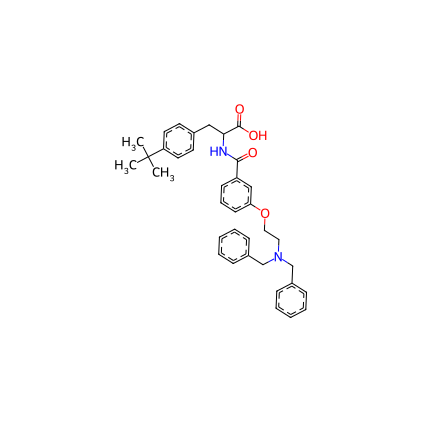 CC(C)(C)c1ccc(CC(NC(=O)c2cccc(OCCN(Cc3ccccc3)Cc3ccccc3)c2)C(=O)O)cc1